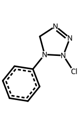 ClN1N=NCN1c1ccccc1